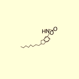 CCCCCCCCC1Cc2ccc(C3NCC(=O)O3)cc2C1